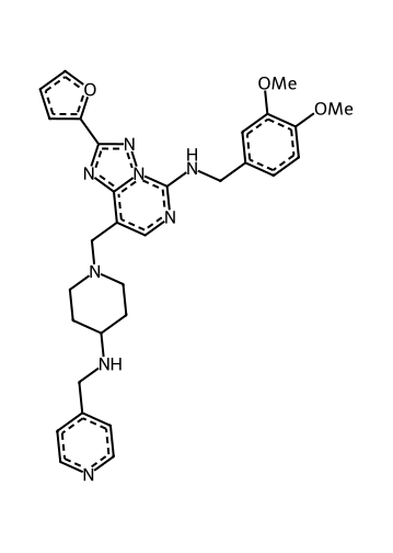 COc1ccc(CNc2ncc(CN3CCC(NCc4ccncc4)CC3)c3nc(-c4ccco4)nn23)cc1OC